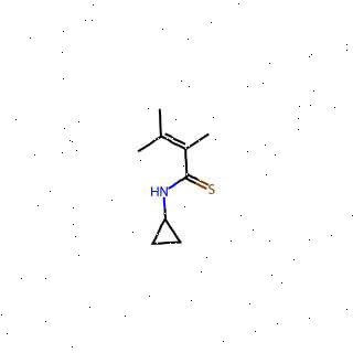 CC(C)=C(C)C(=S)NC1CC1